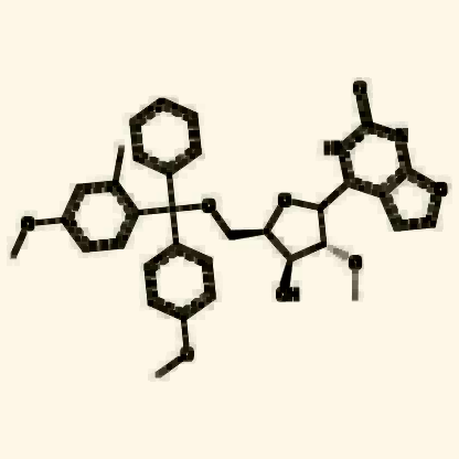 COc1ccc(C(OC[C@H]2OC(c3[nH]c(=O)nc4occc34)[C@H](OC)[C@H]2O)(c2ccccc2)c2ccc(OC)cc2C)cc1